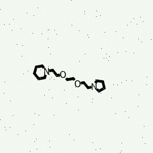 C1CCN(CCOCCOCCN2CCCC2)CC1